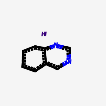 I.c1ccc2ncncc2c1